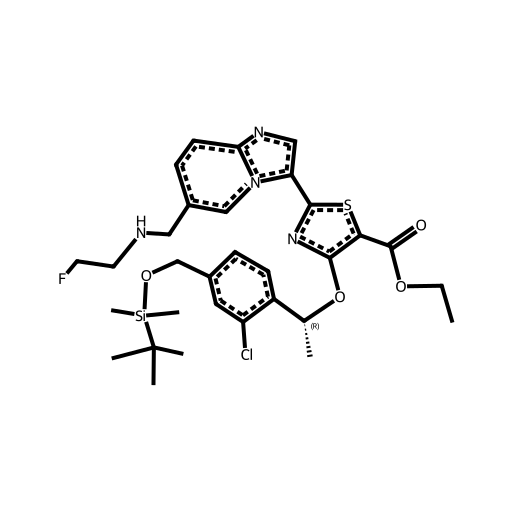 CCOC(=O)c1sc(-c2cnc3ccc(CNCCF)cn23)nc1O[C@H](C)c1ccc(CO[Si](C)(C)C(C)(C)C)cc1Cl